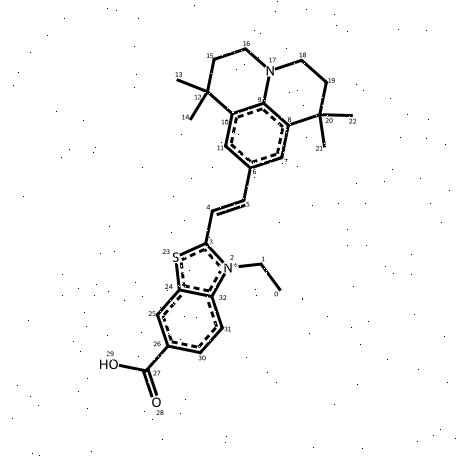 CC[n+]1c(/C=C/c2cc3c4c(c2)C(C)(C)CCN4CCC3(C)C)sc2cc(C(=O)O)ccc21